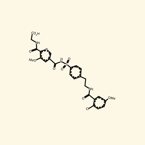 COc1ccc(Cl)c(C(=O)NCCc2ccc(S(=O)(=O)NC(=O)c3cnc(C(=O)NCC(=O)O)c(OC)c3)cc2)c1